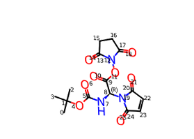 CC(C)(C)OC(=O)N[C@@H](C(=O)ON1C(=O)CCC1=O)N1C(=O)C=CC1=O